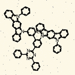 FC(F)(F)c1ccc(-n2c3ccccc3c3cc4c5ccccc5n(-c5ccccc5)c4cc32)cc1-c1cc(-c2nc(-c3ccccc3)nc(-c3ccccc3)n2)ccc1-n1c2ccccc2c2cc3c4ccccc4n(-c4ccccc4)c3cc21